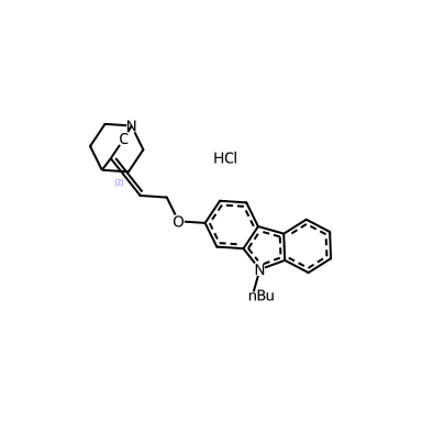 CCCCn1c2ccccc2c2ccc(OC/C=C3\CN4CCC3CC4)cc21.Cl